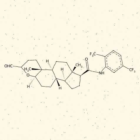 C[C@]12CCC(C=O)O[C@@H]1CC[C@@H]1[C@@H]2CC[C@]2(C)[C@@H](C(=O)Nc3cc(C(F)(F)F)ccc3C(F)(F)F)CC[C@@H]12